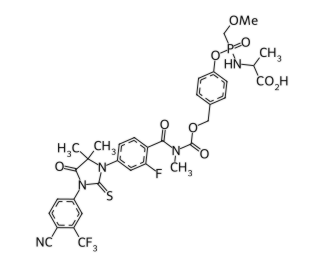 COCP(=O)(NC(C)C(=O)O)Oc1ccc(COC(=O)N(C)C(=O)c2ccc(N3C(=S)N(c4ccc(C#N)c(C(F)(F)F)c4)C(=O)C3(C)C)cc2F)cc1